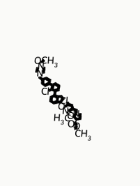 CCOC(=O)[C@@H]1CCN(Cc2cc(Cl)c(O[C@H]3CCc4c(-c5cccc(-c6ccc(CN7CCN(C(C)=O)CC7)cc6)c5Cl)cccc43)nc2OC)C1